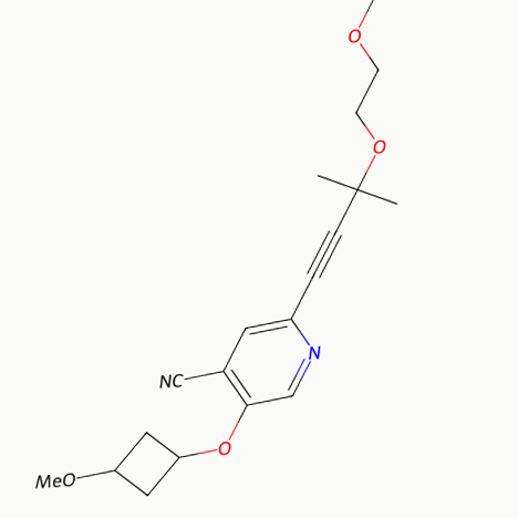 COC1CC(Oc2cnc(C#CC(C)(C)OCCOC(C)C)cc2C#N)C1